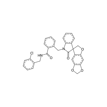 O=C(NCc1ccccc1Cl)c1ccccc1CN1C(=O)C2(COc3cc4c(cc32)OCO4)c2ccccc21